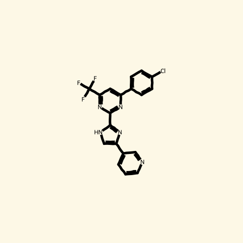 FC(F)(F)c1cc(-c2ccc(Cl)cc2)nc(-c2nc(-c3cccnc3)c[nH]2)n1